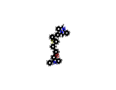 C=C/C(=N\C(=N/C(=C)c1ccccc1)c1ccccc1)c1ccc(-c2cccc3sc4c(-c5cccc(-c6ccc7oc8c(ccc9c(-c%10ccccc%10)nc%10ccccc%10c98)c7c6)c5)cccc4c23)cc1